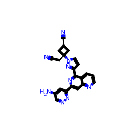 N#CC[C@]1(n2ccc(-c3nc(-c4cc(N)cnn4)cc4ncccc34)n2)C[C@H](C#N)C1